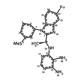 CSc1cccc(-n2c([C@H](C)Nc3ncnc(N)c3N)nc3cc(F)ccc32)c1